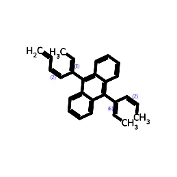 C=C/C=C\C(=C/C)c1c2ccccc2c(C(/C=C\C)=C/C)c2ccccc12